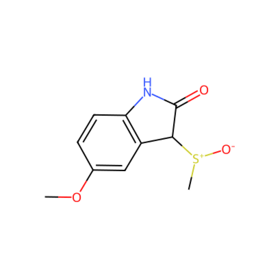 COc1ccc2c(c1)C([S+](C)[O-])C(=O)N2